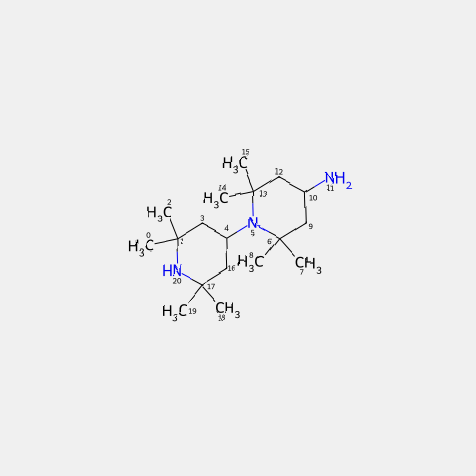 CC1(C)CC(N2C(C)(C)CC(N)CC2(C)C)CC(C)(C)N1